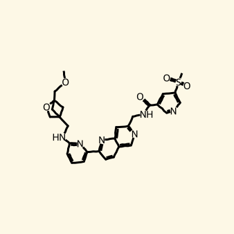 COCC12CC(CNc3cccc(-c4ccc5cnc(CNC(=O)c6cncc(S(C)(=O)=O)c6)cc5n4)n3)(CO1)C2